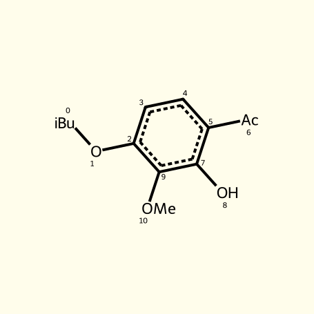 CCC(C)Oc1ccc(C(C)=O)c(O)c1OC